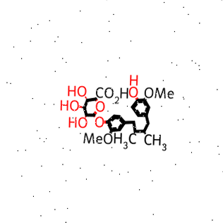 COc1cc(C[C@@H](C)[C@@H](C)Cc2ccc(O[C@@H]3O[C@H](C(=O)O)[C@@H](O)[C@H](O)[C@H]3O)c(OC)c2)ccc1O